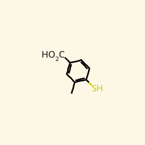 Cc1cc(C(=O)O)ccc1S